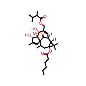 CCCCCC(=O)O[C@@]12CC(C)C34C=C(C)[C@H](O)[C@@]3(O)[C@H](O)C(COC(=O)C(C)C(C)C)=C[C@H](C4=O)[C@@H]1C2(C)C